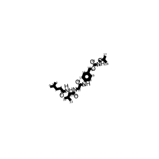 CC(C)CCC(=O)NC(C(=O)NCC(=O)Nc1ccc(COC(=O)NOC(C)C)cc1)C(C)C